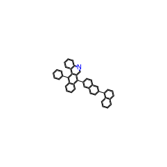 c1ccc(-c2c3ccccc3c(-c3ccc4cc(-c5cccc6ccccc56)ccc4c3)c3cnc4ccccc4c23)cc1